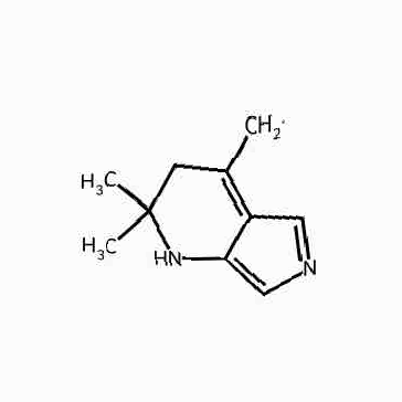 [CH2]C1=C2C=NC=C2NC(C)(C)C1